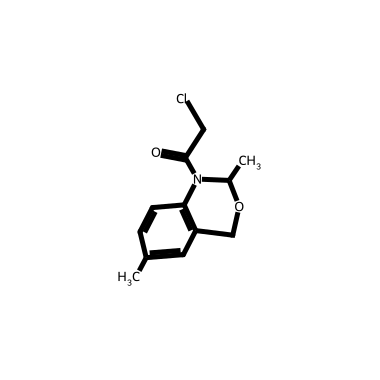 Cc1ccc2c(c1)COC(C)N2C(=O)CCl